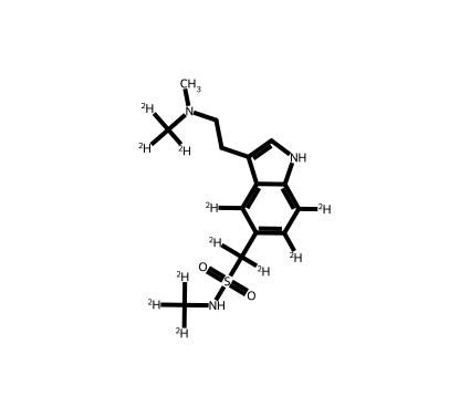 [2H]c1c(C([2H])([2H])S(=O)(=O)NC([2H])([2H])[2H])c([2H])c2c(CCN(C)C([2H])([2H])[2H])c[nH]c2c1[2H]